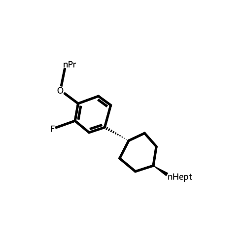 CCCCCCC[C@H]1CC[C@H](c2ccc(OCCC)c(F)c2)CC1